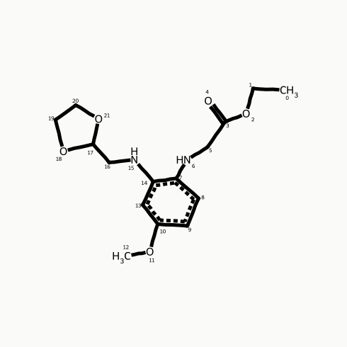 CCOC(=O)CNc1ccc(OC)cc1NCC1OCCO1